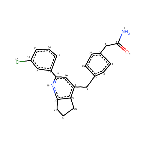 NC(=O)Cc1ccc(Cc2cc(-c3cccc(Cl)c3)nc3c2CCC3)cc1